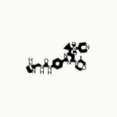 C[C@H]1COCCN1c1cc(C2(S(=O)(=O)c3ccncc3)CC2)nc(-c2ccc(NC(=O)NCc3ncc[nH]3)cc2)n1